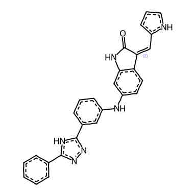 O=C1Nc2cc(Nc3cccc(-c4nnc(-c5ccccc5)[nH]4)c3)ccc2/C1=C/c1ccc[nH]1